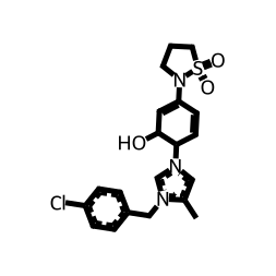 Cc1cn(C2C=CC(N3CCCS3(=O)=O)=CC2O)c[n+]1Cc1ccc(Cl)cc1